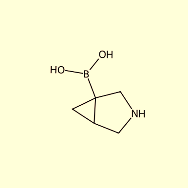 OB(O)C12CNCC1C2